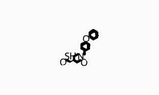 O=C(S)C[C@H]1CCN(Cc2ccc(Oc3ccccc3)cc2)C(=O)C1